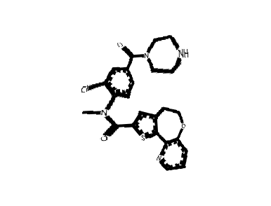 CN(C(=O)c1cc2c(s1)-c1ncccc1OCC2)c1ccc(C(=O)N2CCNCC2)cc1Cl